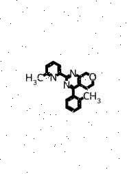 Cc1cccc(-c2nc3c(c(-c4ccccc4C)n2)CCOC3)n1